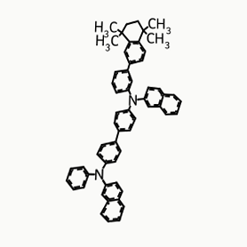 CC1(C)CCC(C)(C)c2cc(-c3cccc(N(c4ccc(-c5ccc(N(c6ccccc6)c6ccc7ccccc7c6)cc5)cc4)c4ccc5ccccc5c4)c3)ccc21